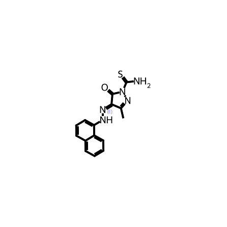 CC1=NN(C(N)=S)C(=O)/C1=N/Nc1cccc2ccccc12